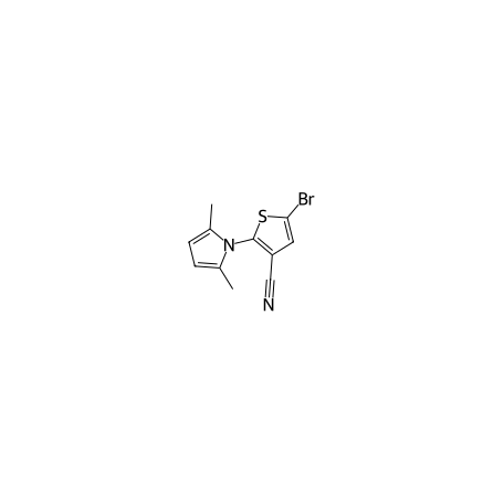 Cc1ccc(C)n1-c1sc(Br)cc1C#N